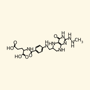 CNNc1nc2c(c(=O)[nH]1)NC(CNc1ccc(C(=O)NC(CCC(=O)O)C(=O)O)cc1)CN2